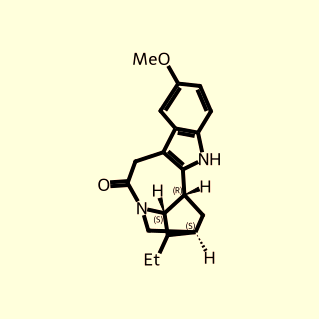 CCC1[C@@H]2C[C@H]3c4[nH]c5ccc(OC)cc5c4CC(=O)N(C2)[C@@H]13